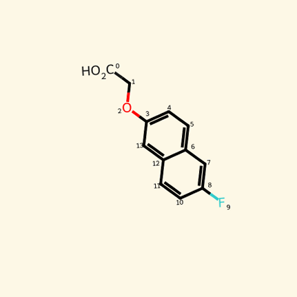 O=C(O)COc1ccc2cc(F)ccc2c1